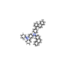 c1ccc(-n2c3ccccc3c3cc(N(c4ccc(-c5cccc6c5ccc5ccccc56)cc4)c4ccc5ccc6ccccc6c5c4)ccc32)cc1